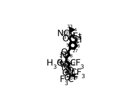 CCN(C(=O)c1cc(-c2cc(-c3c(C(F)(F)F)c(OS(=O)(=O)C(F)(C(F)(F)F)C(F)(F)F)nn3C)no2)ccc1Cl)C1(C#N)CC1